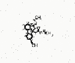 C#Cc1ccc2c(c1)C(CC(=O)OCC)(CC(=O)OCC)c1ccccc1-2